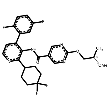 CO[C@@H](C)COc1ncc(C(=O)Nc2c(-c3cc(F)ccc3F)ccnc2C2CCC(F)(F)CC2)cn1